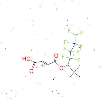 CC(C)(C)C(OC(=O)/C=C/C(=O)O)C(F)(F)C(F)(F)C(F)(F)C(F)F